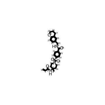 C=CC(=O)NC1(C)CCN(S(=O)(=O)c2ccc(C(=O)NCc3ccc4c(c3)CCCO4)cc2)CC1